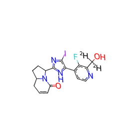 [2H]C([2H])(O)c1nccc(-c2[nH]c(C3CCC4CC=CC(=O)N43)nc2I)c1F